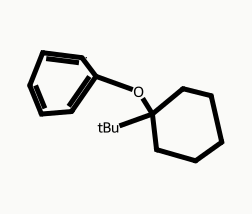 CC(C)(C)C1(Oc2[c]cccc2)CCCCC1